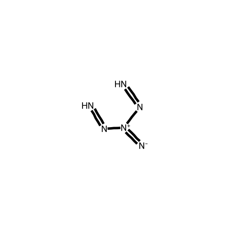 [N-]=[N+](N=N)N=N